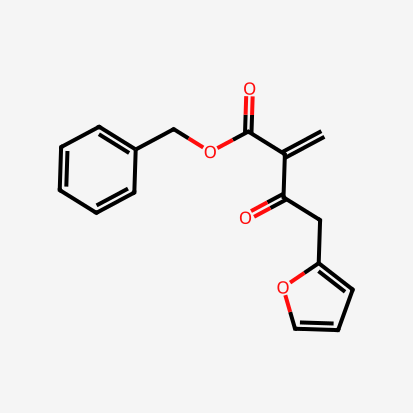 C=C(C(=O)Cc1ccco1)C(=O)OCc1ccccc1